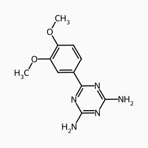 COc1ccc(-c2nc(N)nc(N)n2)cc1OC